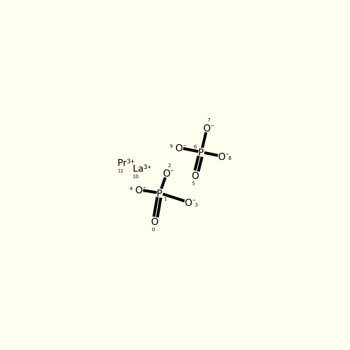 O=P([O-])([O-])[O-].O=P([O-])([O-])[O-].[La+3].[Pr+3]